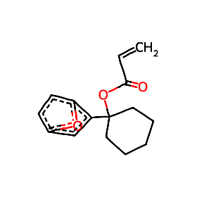 C=CC(=O)OC1(c2cc3ccc2o3)CCCCC1